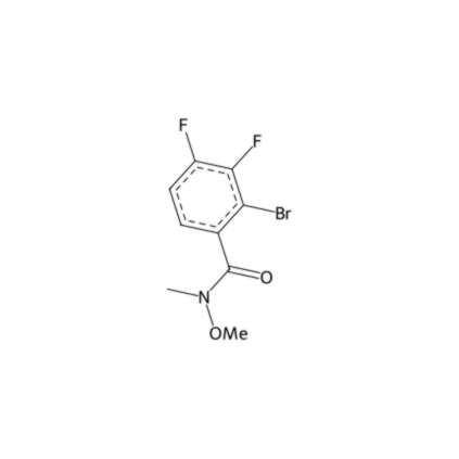 CON(C)C(=O)c1ccc(F)c(F)c1Br